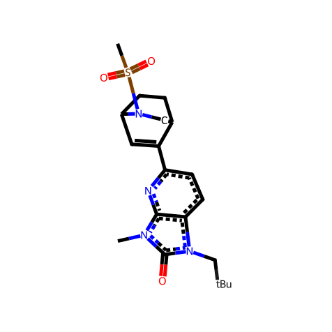 Cn1c(=O)n(CC(C)(C)C)c2ccc(C3=CC4CCC3CN4S(C)(=O)=O)nc21